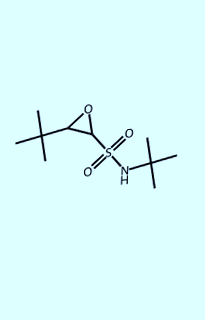 CC(C)(C)NS(=O)(=O)C1OC1C(C)(C)C